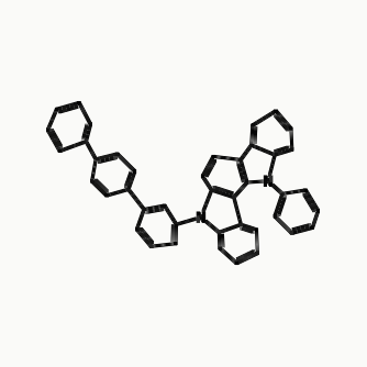 c1ccc(-c2ccc(-c3cccc(-n4c5ccccc5c5c4ccc4c6ccccc6n(-c6ccccc6)c45)c3)cc2)cc1